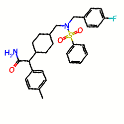 Cc1ccc(C(C(N)=O)C2CCC(CN(Cc3ccc(F)cc3)S(=O)(=O)c3ccccc3)CC2)cc1